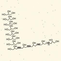 OCC(O)CO.OCC(O)CO.OCC(O)CO.OCC(O)CO.OCC(O)CO.OCC(O)CO.OCC(O)CO.OCC(O)CO.OCC(O)CO.OCC(O)CO.OCC(O)CO.OCC(O)CO